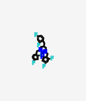 Fc1ccc(CC2CN(Cc3ccc(F)cc3F)NN(Cc3ccc(F)cc3F)C2)c(F)c1